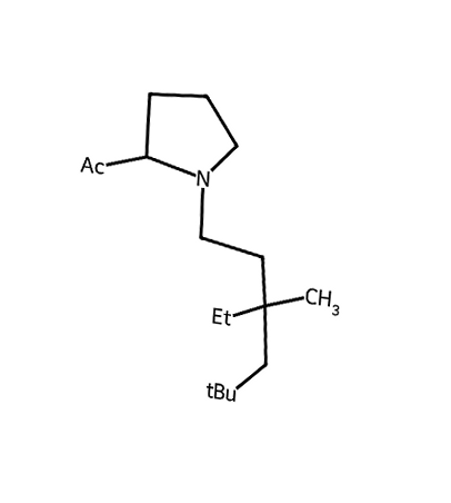 CCC(C)(CCN1CCCC1C(C)=O)CC(C)(C)C